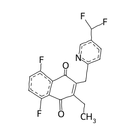 CCC1=C(Cc2ccc(C(F)F)cn2)C(=O)c2c(F)ccc(F)c2C1=O